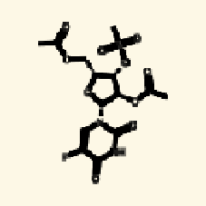 CC(=O)OC[C@H]1O[C@@H](n2cc(F)c(=O)[nH]c2=O)[C@H](OC(C)=O)[C@H]1OS(C)(=O)=O